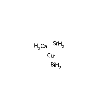 [BiH3].[CaH2].[Cu].[SrH2]